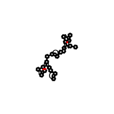 c1ccc(-c2ccc(N(c3ccc(-c4ccccc4-n4c5ccccc5c5ccccc54)cc3)c3ccc4c(ccc5cc(-c6cccc7c6oc6ccc(-c8cccc(-c9ccc(N(c%10ccc(-c%11ccccc%11-n%11c%12ccccc%12c%12ccccc%12%11)cc%10)c%10ccc%11cc(-c%12cccc%13c%12oc%12ccccc%12%13)ccc%11c%10)cc9)c8)cc67)ccc54)c3)cc2)cc1